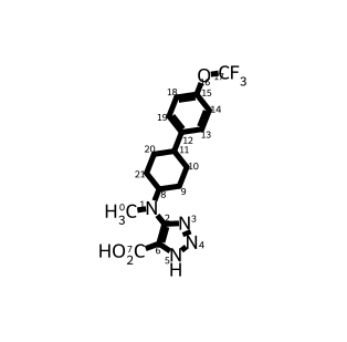 CN(c1nn[nH]c1C(=O)O)C1CCC(c2ccc(OC(F)(F)F)cc2)CC1